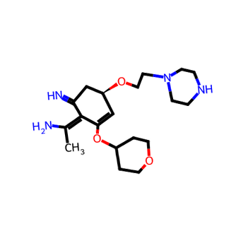 C/C(N)=C1/C(=N)C[C@@H](OCCN2CCNCC2)C=C1OC1CCOCC1